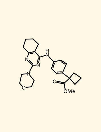 COC(=O)C1(c2ccc(Nc3nc(N4CCOCC4)nc4c3CCCC4)cc2)CCC1